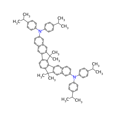 CC(C)c1ccc(N(c2ccc(C(C)C)cc2)c2ccc3cc4c(cc3c2)C(C)(C)c2ccc3c(c2-4)C(C)(C)c2cc4cc(N(c5ccc(C(C)C)cc5)c5ccc(C(C)C)cc5)ccc4cc2-3)cc1